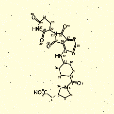 O=C(O)C[C@H]1CCN(C(=O)C2CCC(Nc3cccc4c3C(=O)N(C3CCC(=O)NC3=O)C4=O)CC2)C1